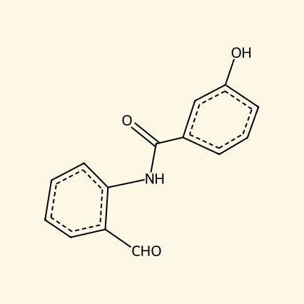 O=Cc1ccccc1NC(=O)c1cccc(O)c1